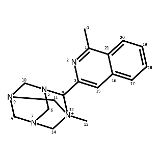 Cc1nc(C2N3CN4CN(C3)C[N+]2(C)C4)cc2ccccc12